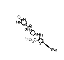 CC(C)(C)C#Cc1cc(N[C@H]2CCN(S(=O)(=O)c3cnc(=O)[nH]c3)C2)c(C(=O)O)s1